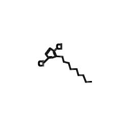 CCCCCCCCCc1cc(Cl)ccc1Cl